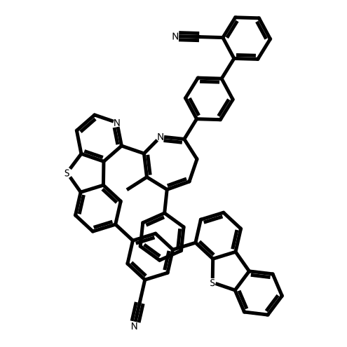 CC1=C(c2nccc3sc4ccc(-c5cc(C#N)cc(-c6cccc7c6sc6ccccc67)c5)cc4c23)N=C(c2ccc(-c3ccccc3C#N)cc2)CC=C1c1ccccc1